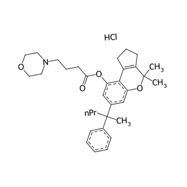 CCCC(C)(c1ccccc1)c1cc(OC(=O)CCCN2CCOCC2)c2c(c1)OC(C)(C)C1=C2CCC1.Cl